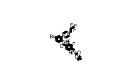 CC(C)(C)OC(=O)NCc1ccc(C(=O)Nc2ccc(Br)cc2N2CCN(CCC(F)(F)F)CC2)c(F)c1F